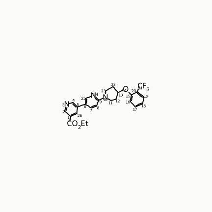 CCOC(=O)c1cncc(-c2ccc(N3CCC(Oc4ccccc4C(F)(F)F)CC3)nc2)c1